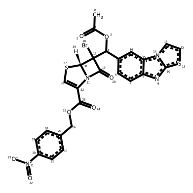 CC(=O)OC(c1ccc2nc3sccn3c2c1)C1(Br)C(=O)N2C(C(=O)OCc3ccc([N+](=O)[O-])cc3)=CS[C@@H]21